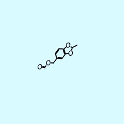 CC1Oc2ccc(CO[C]=O)cc2O1